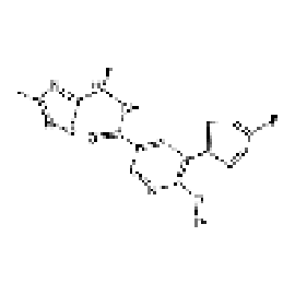 Cc1noc([C@@H](C)NC(=O)c2cnc(OC(C)C)c(-c3ccc(F)cc3)c2)n1